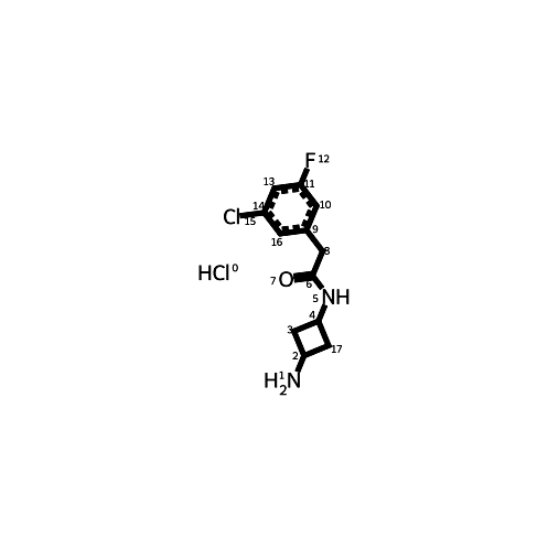 Cl.NC1CC(NC(=O)Cc2cc(F)cc(Cl)c2)C1